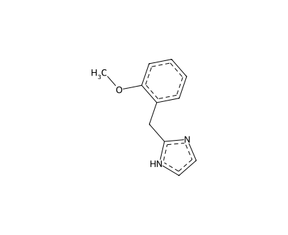 COc1ccccc1Cc1ncc[nH]1